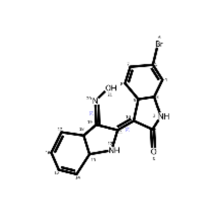 O=C1NC2C=C(Br)C=CC2/C1=C1/NC2C=CC=CC2/C1=N/O